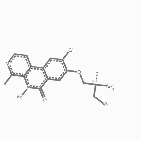 CCn1c(=O)c2cc(OC[C@@](C)(N)CC(C)C)c(Cl)cc2c2ccnc(C)c21